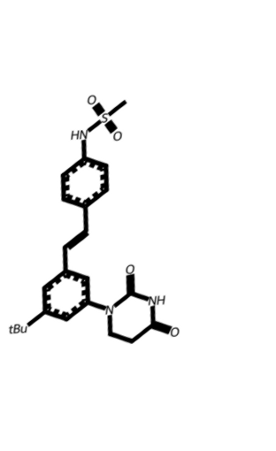 CC(C)(C)c1cc(C=Cc2ccc(NS(C)(=O)=O)cc2)cc(N2CCC(=O)NC2=O)c1